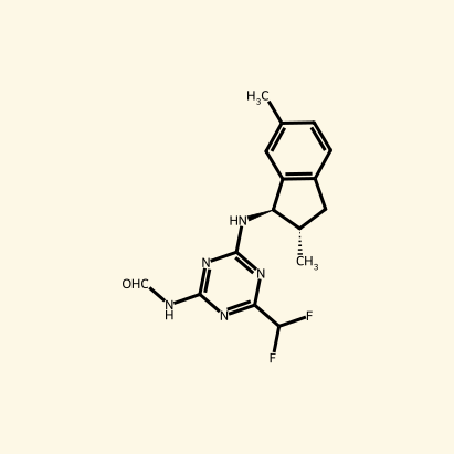 Cc1ccc2c(c1)[C@H](Nc1nc(NC=O)nc(C(F)F)n1)[C@@H](C)C2